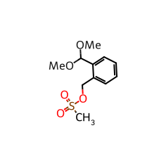 COC(OC)c1ccccc1COS(C)(=O)=O